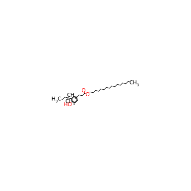 CCCCCCCCCCCCCCCCOC(=O)CCc1ccc(O)c(C(C)(C)CCC)c1